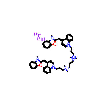 CN1c2ccccc2OC1C=C1C=CN(CCC[N+](C)(C)CCC[N+](C)(C)CCCN2C=CC(=CC3Oc4ccccc4N3C)c3ccccc32)c2ccccc21.I.I.I.I